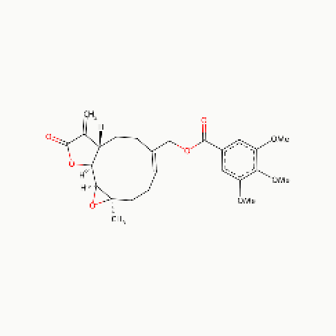 C=C1C(=O)O[C@H]2[C@H]1CC/C(COC(=O)c1cc(OC)c(OC)c(OC)c1)=C\CC[C@@]1(C)O[C@@H]21